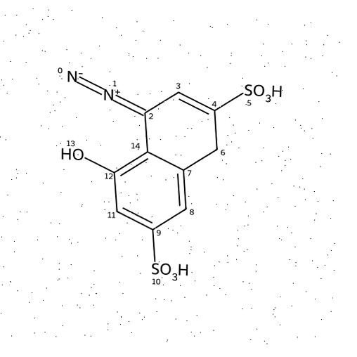 [N-]=[N+]=C1C=C(S(=O)(=O)O)Cc2cc(S(=O)(=O)O)cc(O)c21